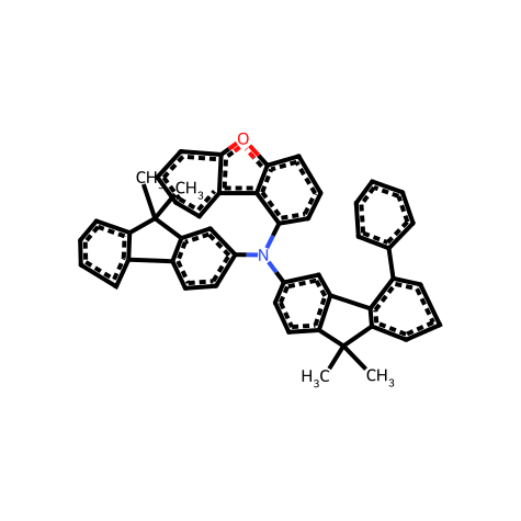 CC1(C)c2ccccc2-c2ccc(N(c3ccc4c(c3)-c3c(-c5ccccc5)cccc3C4(C)C)c3cccc4oc5ccccc5c34)cc21